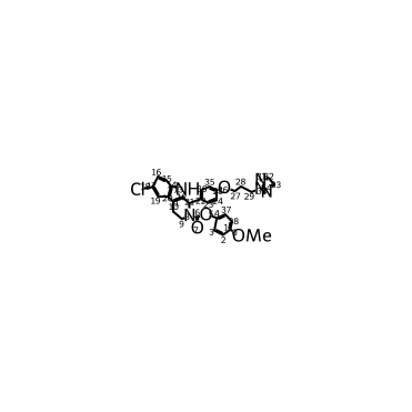 COc1ccc(OC(=O)N2CCc3c([nH]c4ccc(Cl)cc34)C2c2ccc(OCCCn3nccn3)cc2)cc1